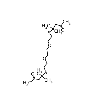 CC(=O)CC(C)(C)SCCOCCOCCSC(C)(C)CC(C)=O